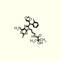 CC(C)(O)C(=O)NCCCn1c(C(C2=COCO2)c2ccccc2I)nc2c(N)nc(F)nc21